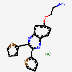 Cl.NCCOc1ccc2nc(-c3cccs3)c(-c3cccs3)nc2c1